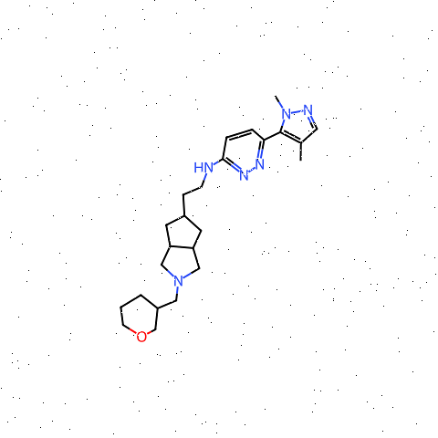 Cc1cnn(C)c1-c1ccc(NCCC2CC3CN(CC4CCCOC4)CC3C2)nn1